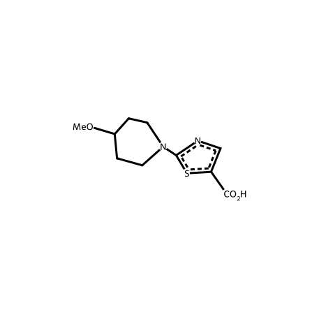 COC1CCN(c2ncc(C(=O)O)s2)CC1